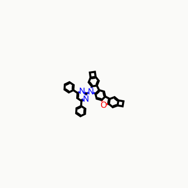 c1ccc(-c2cc(-c3ccccc3)nc(-n3c4cc5c(cc4c4cc6c(cc43)oc3cc4c(cc36)CC4)CC5)n2)cc1